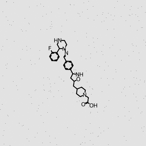 O=C(O)CN1CCC(CC2CC(c3ccc(C=NN4CCNCC4c4ccccc4F)cc3)NO2)CC1